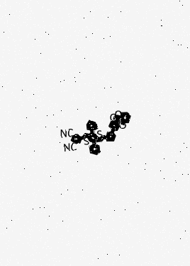 N#Cc1cc(C#N)cc(-c2cc3c(-c4ccccc4)c4sc(-c5cccc(-c6ccc7c(c6)Oc6ccccc6S7(=O)=O)c5)cc4c(-c4ccccc4)c3s2)c1